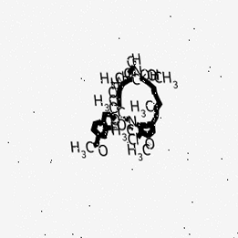 COc1cc2cc(c1Cl)N(C)C(=O)C[C@H](OC(=O)Cc1ccc(C(C)=O)cc1F)[C@]1(C)O[C@H]1[C@H](C)[C@@H]1C[C@@](O)(NC(=O)O1)[C@H](OC)/C=C/C=C(\C)C2